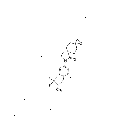 C[C@@H](Oc1ccc(N2CC[C@]3(CC[C@@]4(CC3)CO4)C2=O)cc1)C(F)(F)F